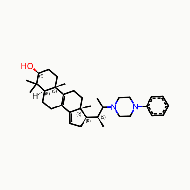 CC([C@@H](C)[C@H]1CC=C2C3=C(CC[C@@]21C)[C@@]1(C)CC[C@H](O)C(C)(C)[C@@H]1CC3)N1CCN(c2ccccc2)CC1